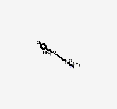 C/C(N)=C/C(=O)OCCCCCCOc1cc(-c2ccc(Cl)cc2)[nH]n1